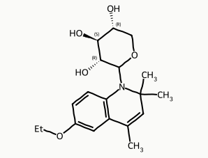 CCOc1ccc2c(c1)C(C)=CC(C)(C)N2C1OC[C@@H](O)[C@H](O)[C@H]1O